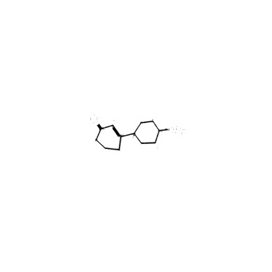 CCCC1CCC(C2=CC(=O)CCC2)CC1